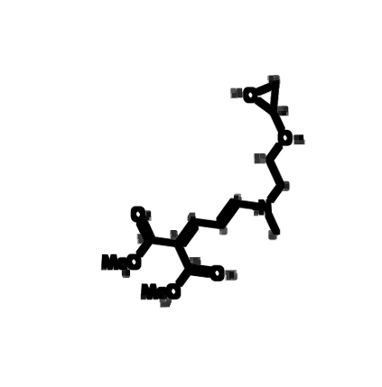 COC(=O)C(=C/C=C/N(C)CCOC1CO1)C(=O)OC